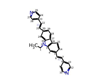 CCn1c2cc(/C=C/c3ccncc3)ccc2c2ccc(/C=C/c3ccncc3)cc21